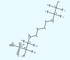 CC(F)(F)C(F)(F)OCCCCOC(F)(F)C(F)(F)S(=O)(=O)O